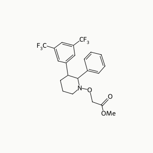 COC(=O)CON1CCCC(c2cc(C(F)(F)F)cc(C(F)(F)F)c2)C1c1ccccc1